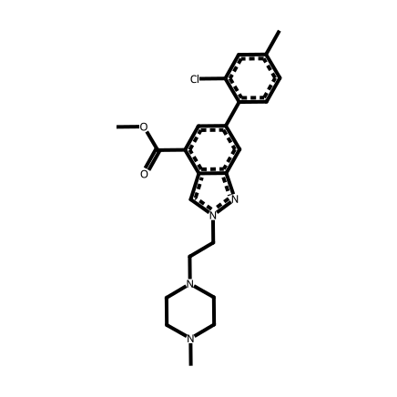 COC(=O)c1cc(-c2ccc(C)cc2Cl)cc2nn(CCN3CCN(C)CC3)cc12